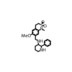 COc1cc2c(cc1CNC1CCCNC1c1ccccc1)N(C)S(=O)(=O)CC2